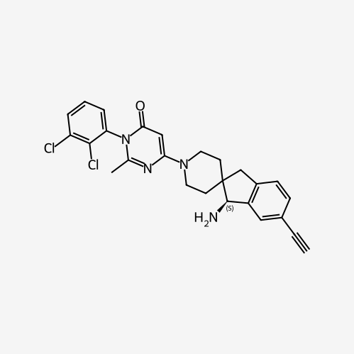 C#Cc1ccc2c(c1)[C@@H](N)C1(CCN(c3cc(=O)n(-c4cccc(Cl)c4Cl)c(C)n3)CC1)C2